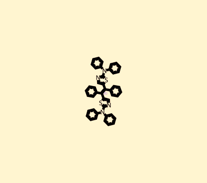 c1ccc(/C(=C(/c2ccccc2)c2cnc(N(c3ccccc3)c3ccccc3)s2)c2cnc(N(c3ccccc3)c3ccccc3)s2)cc1